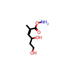 CC(=CC(O)CCO)C(=O)ON